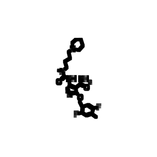 Cc1cc(F)c(COc2nsc(NC(=O)N(C)CCCCN3CCCCC3)c2C(N)=O)cc1F